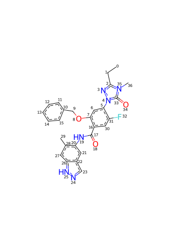 CCc1nn(-c2cc(OCc3ccccc3)c(C(=O)Nc3cc4cn[nH]c4cc3C)cc2F)c(=O)n1C